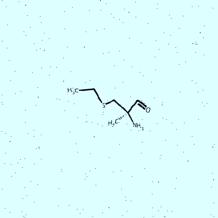 CCSC[C@](C)(N)C=O